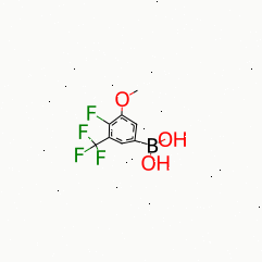 COc1cc(B(O)O)cc(C(F)(F)F)c1F